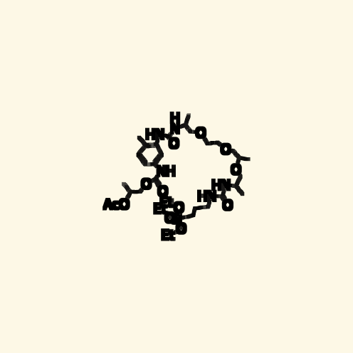 CCO[Si](CCCNC(=O)NC(C)COC(C)COCCOCC(C)NC(=O)Nc1cc(NC(=O)OCC(C)OC(C)=O)ccc1C)(OCC)OCC